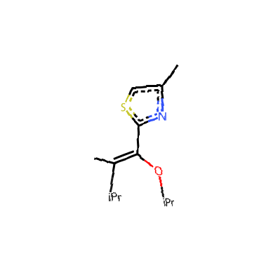 C/C(=C(/OC(C)C)c1nc(C)cs1)C(C)C